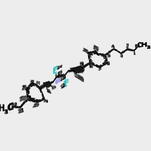 CCCCCc1ccc(C#C/C(F)=C(\F)C#Cc2ccc(CC)cc2)cc1